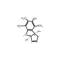 Cc1c(C)c2c(c(C)c1O)[C@H]1CC=C[C@H]1O2